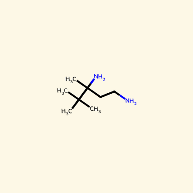 CC(C)(C)C(C)(N)CCN